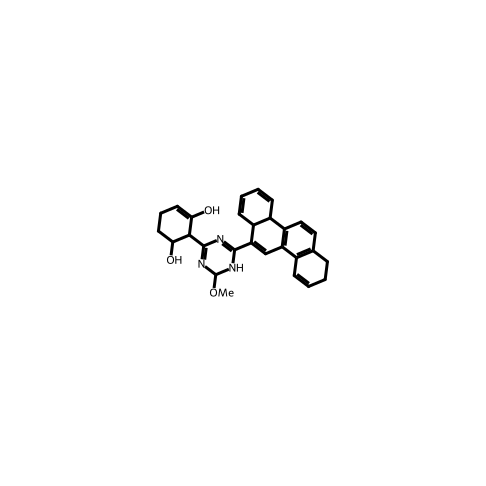 COC1N=C(C2C(O)=CCCC2O)N=C(C2=Cc3c(ccc4c3C=CCC4)C3C=CC=CC23)N1